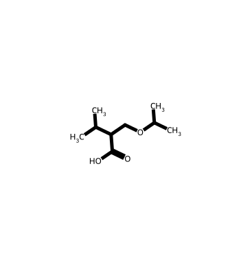 CC(C)OCC(C(=O)O)C(C)C